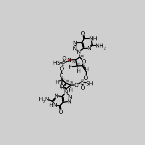 Nc1nc2c(nnn2[C@@H]2O[C@@H]3COP(=O)(S)O[C@@H]4[C@H](F)[C@@H](COP(=O)(S)O[C@@H]2[C@@H]3F)O[C@H]4n2nnc3c(=O)[nH]c(N)nc32)c(=O)[nH]1